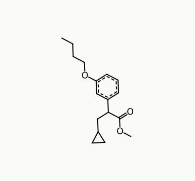 CCCCOc1cccc(C(CC2CC2)C(=O)OC)c1